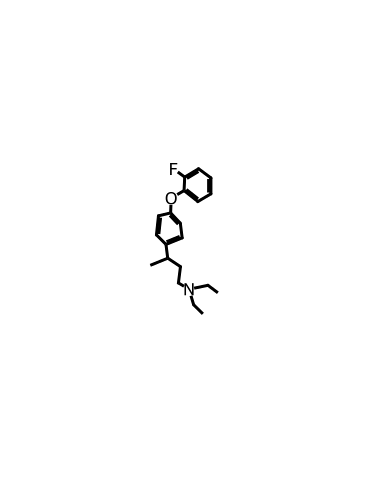 CCN(CC)CCC(C)c1ccc(Oc2ccccc2F)cc1